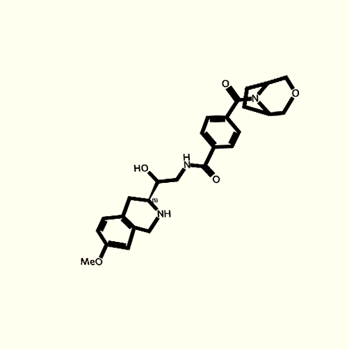 COc1ccc2c(c1)CN[C@H](C(O)CNC(=O)c1ccc(C(=O)N3C4CCC3COC4)cc1)C2